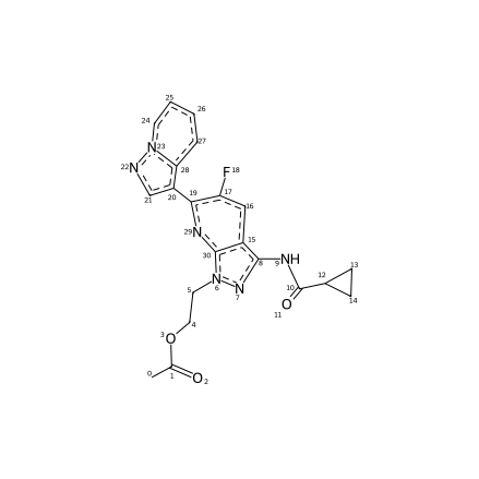 CC(=O)OCCn1nc(NC(=O)C2CC2)c2cc(F)c(-c3cnn4ccccc34)nc21